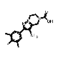 Cc1cc(-c2nn3c(c2N)CN(C(=O)O)CC3)cc(C)c1F